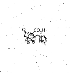 C[n+]1ccn(C[C@]2(C)[C@@H](C(=O)O)N3C(=O)C[C@H]3S2(=O)=O)n1